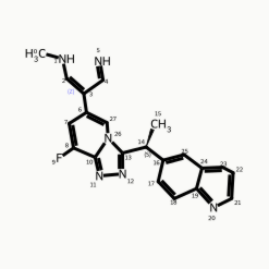 CN/C=C(\C=N)c1cc(F)c2nnc([C@@H](C)c3ccc4ncccc4c3)n2c1